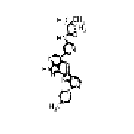 CN1CCN(c2nccc3[nH]c(-c4n[nH]c5ncc(-c6cncc(NC(=O)CC(C)(C)C)c6)c(F)c45)nc23)CC1